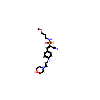 COCCCNS(=O)(=O)/C(C#N)=C/c1ccc(NCCN2CCOCC2)cc1